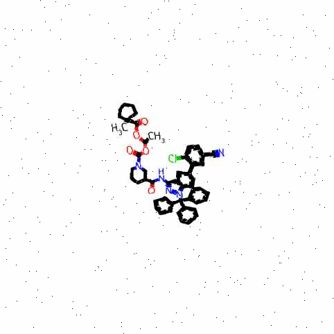 CC(OC(=O)N1CCCC(C(=O)Nc2nn(C(c3ccccc3)(c3ccccc3)c3ccccc3)c3ccc(-c4cc(C#N)ccc4Cl)cc23)C1)OC(=O)C1(C)CCCCC1